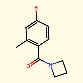 Cc1cc(Br)ccc1C(=O)N1CCC1